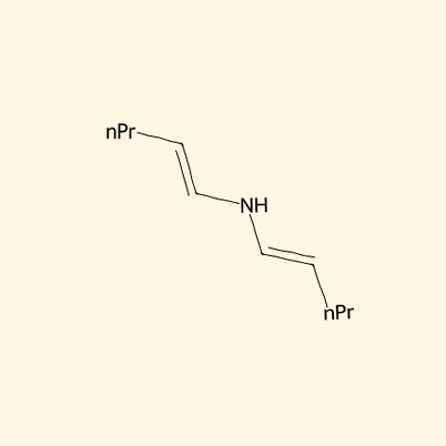 CCCC=CNC=CCCC